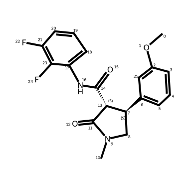 COc1cccc([C@H]2CN(C)C(=O)[C@@H]2C(=O)Nc2cccc(F)c2F)c1